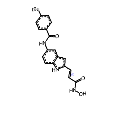 CC(C)(C)c1ccc(C(=O)Nc2ccc3[nH]c(/C=C/C(=O)NO)cc3c2)cc1